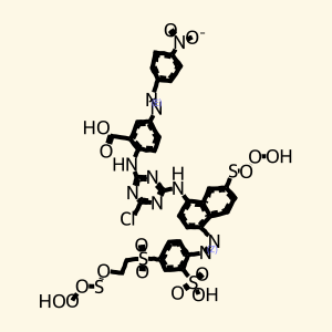 O=C(O)c1cc(/N=N/c2ccc([N+](=O)[O-])cc2)ccc1Nc1nc(Cl)nc(Nc2ccc(/N=N\c3ccc(S(=O)(=O)CCOSOOO)cc3S(=O)(=O)O)c3ccc(SOOO)cc23)n1